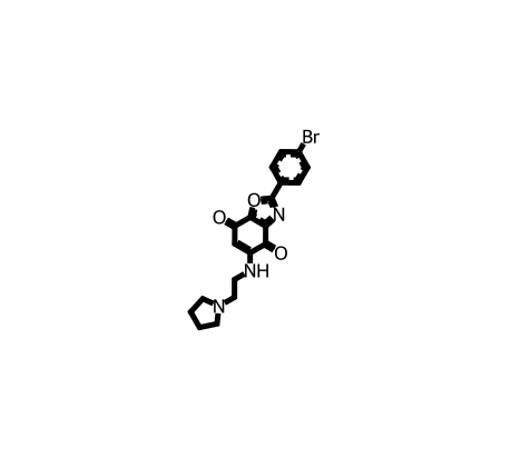 O=C1C(NCCN2CCCC2)=CC(=O)c2oc(-c3ccc(Br)cc3)nc21